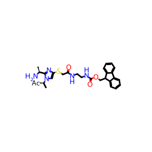 CC(=O)[C@H](C)n1cc(SCC(=O)NCCNC(=O)OCC2c3ccccc3-c3ccccc32)nc1[C@H](C)N